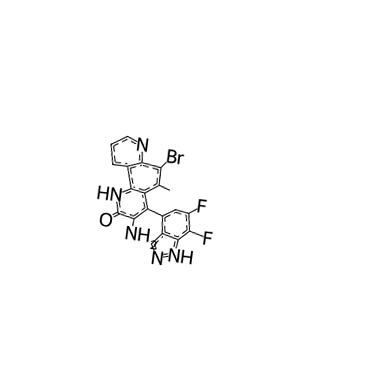 Cc1c(Br)c2ncccc2c2[nH]c(=O)c(N)c(-c3cc(F)c(F)c4[nH]ncc34)c12